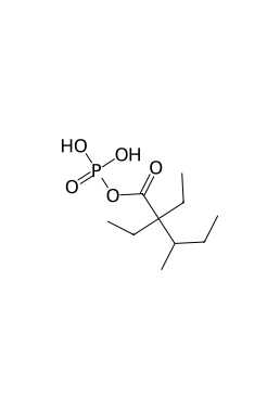 CCC(C)C(CC)(CC)C(=O)OP(=O)(O)O